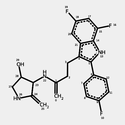 C=C(CCc1c(-c2ccc(F)cc2)[nH]c2c(F)cc(F)cc12)NC1C(=C)NCC1O